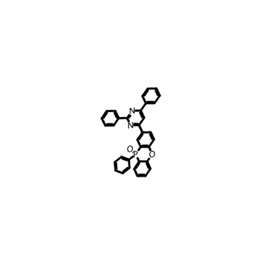 O=P1(c2ccccc2)c2ccccc2Oc2ccc(-c3cc(-c4ccccc4)nc(-c4ccccc4)n3)cc21